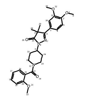 COc1ccc(C2=NN(C3CCN(C(=O)c4ccccc4OC)CC3)C(=O)C2(C)C)cc1OC